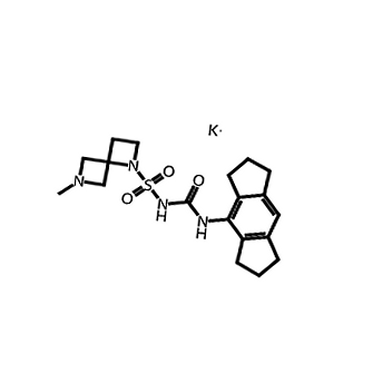 CN1CC2(CCN2S(=O)(=O)NC(=O)Nc2c3c(cc4c2CCC4)CCC3)C1.[K]